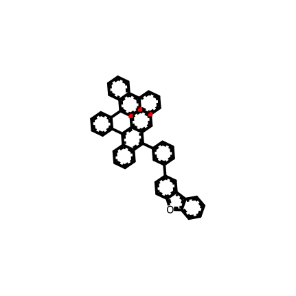 c1cc(-c2ccc3oc4ccccc4c3c2)cc(-c2c3ccccc3c(-c3ccccc3-c3cc4ccccc4c4ccccc34)c3ccccc23)c1